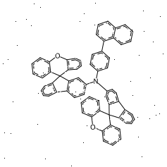 c1ccc2c(c1)Oc1ccccc1C21c2ccccc2-c2ccc(N(c3ccc(-c4cccc5ccccc45)cc3)c3ccc4c(c3)C3(c5ccccc5Oc5ccccc53)c3ccccc3-4)cc21